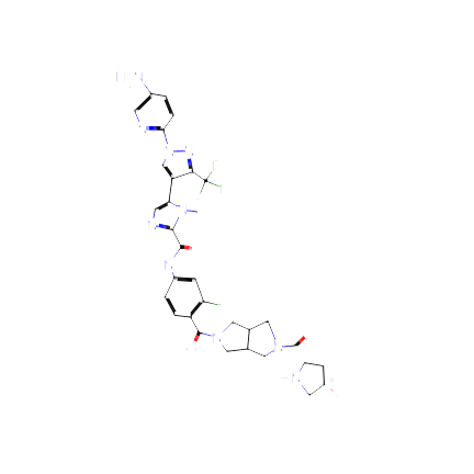 Cn1c(-c2cn(-c3ccc(N)cn3)nc2C(F)(F)F)cnc1C(=O)Nc1ccc(C(=O)N2CC3CN(C(=O)[C@@H]4C[C@@H](O)CN4)CC3C2)c(Cl)c1